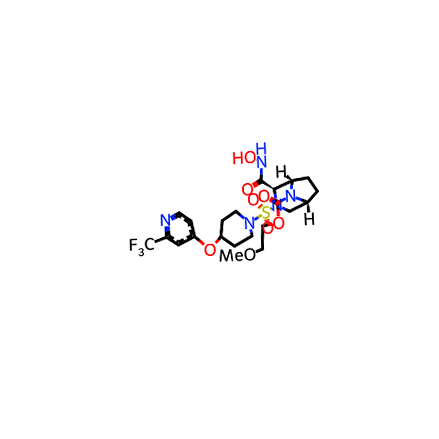 COCCOC(=O)N1[C@@H]2CC[C@H]1[C@H](C(=O)NO)N(S(=O)(=O)N1CCC(Oc3ccnc(C(F)(F)F)c3)CC1)C2